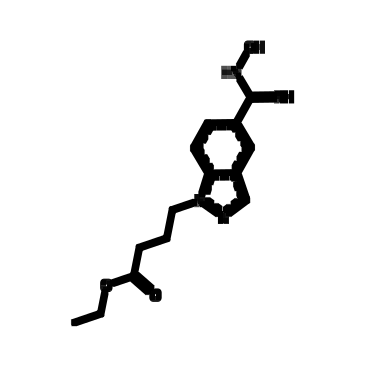 CCOC(=O)CCCn1ncc2cc(C(=N)NO)ccc21